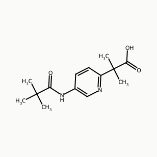 CC(C)(C)C(=O)Nc1ccc(C(C)(C)C(=O)O)nc1